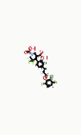 O=C(O)C1=C(c2ccc(CCCOc3c(F)ccc(F)c3Cl)cc2)C(F)(F)CN(C(=O)O)C1